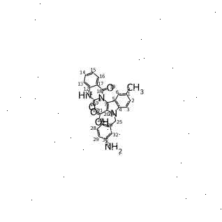 Cc1ccc2c(c1)c(-n1c(=O)[nH]c3ccccc3c1=O)c(C(=O)O)n2Cc1cccc(N)c1